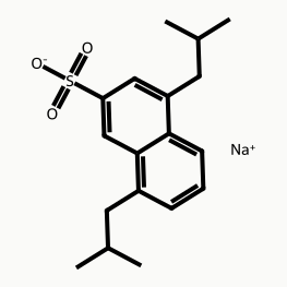 CC(C)Cc1cc(S(=O)(=O)[O-])cc2c(CC(C)C)cccc12.[Na+]